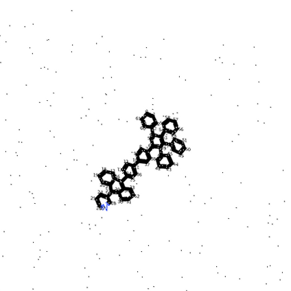 c1ccc(-c2cc(-c3ccc(-c4ccc(-c5c6ccccc6c(-c6cccnc6)c6ccccc56)cc4)cc3)c(-c3ccccc3)c(-c3ccccc3)c2-c2ccccc2)cc1